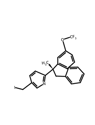 C[C@](Cc1ccccc1)(c1cccc(OC(F)(F)F)c1)c1ccc(CI)cn1